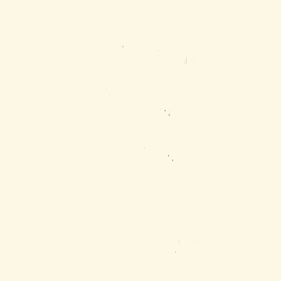 C=C(CCC)C1=C(CN2CCN(c3ccc(C(=O)O)cc3)CC2)CC(C)(C)CC1